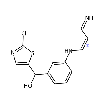 N=C/C=C\Nc1cccc(C(O)c2cnc(Cl)s2)c1